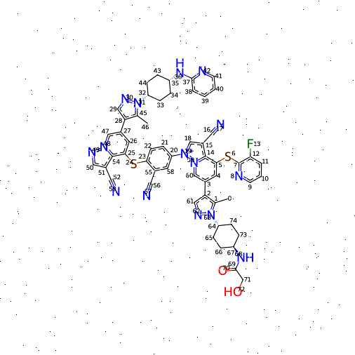 Cc1c(-c2cc(Sc3ncccc3F)c3c(C#N)c[n+](-c4ccc(Sc5cc(-c6cnn([C@H]7CC[C@@H](Nc8ccccn8)CC7)c6C)cn6ncc(C#N)c56)c(C#N)c4)n3c2)cnn1[C@H]1CC[C@H](NC(=O)CO)CC1